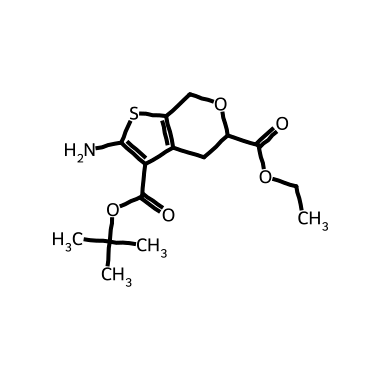 CCOC(=O)C1Cc2c(sc(N)c2C(=O)OC(C)(C)C)CO1